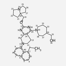 CCc1cccc2cccc(N3CCc4c(nc(OCC56CCCN5CCC6)nc4N4CCCC(CO)CC4)C3)c12